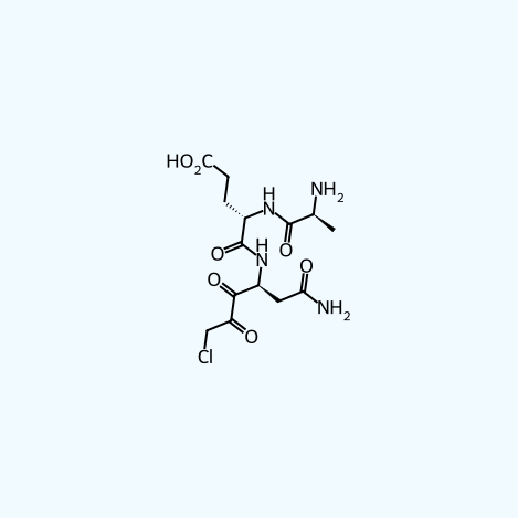 C[C@H](N)C(=O)N[C@@H](CCC(=O)O)C(=O)N[C@@H](CC(N)=O)C(=O)C(=O)CCl